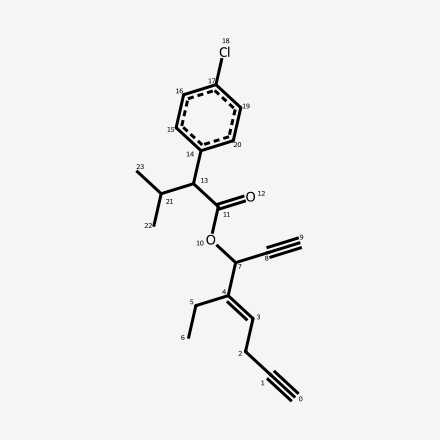 C#CC/C=C(\CC)C(C#C)OC(=O)C(c1ccc(Cl)cc1)C(C)C